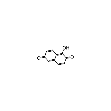 O=C1C=CC2=C(O)C(=O)C=CC2=C1